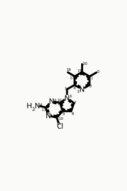 Cc1cnc(Cn2ccc3c(Cl)nc(N)nc32)c(C)c1C